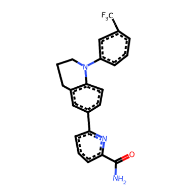 NC(=O)c1cccc(-c2ccc3c(c2)CCCN3c2cccc(C(F)(F)F)c2)n1